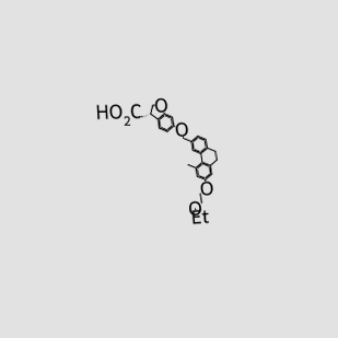 CCOCCOc1cc(C)c2c(c1)CCc1ccc(COc3ccc4c(c3)OC[C@H]4CC(=O)O)cc1-2